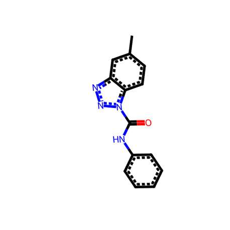 Cc1ccc2c(c1)nnn2C(=O)Nc1ccccc1